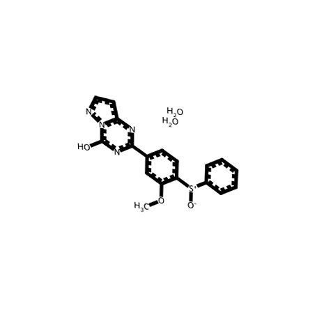 COc1cc(-c2nc(O)n3nccc3n2)ccc1[S+]([O-])c1ccccc1.O.O